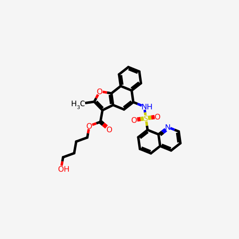 Cc1oc2c(cc(NS(=O)(=O)c3cccc4cccnc34)c3ccccc32)c1C(=O)OCCCCO